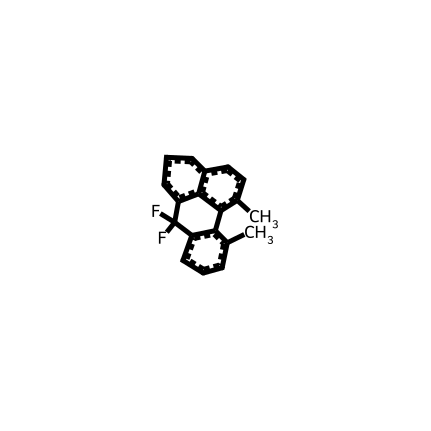 Cc1cccc2c1-c1c(C)ccc3cccc(c13)C2(F)F